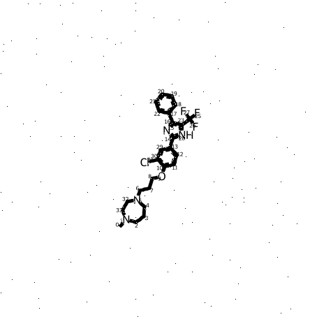 CN1CCCN(CCCOc2ccc(-c3nc(-c4ccccc4)c(C(F)(F)F)[nH]3)cc2Cl)CC1